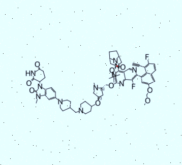 C#Cc1c(F)ccc2cc(OCOC)cc(-c3ncc4c(N5CC6CCC(C5)N6C(=O)OC(C)(C)C)nc(OC[C@@H]5C[C@@H](OC6CCN(CC7CCN(c8ccc9c(c8)n(C)c(=O)n9C8CCC(=O)NC8=O)CC7)CC6)CN5C)nc4c3F)c12